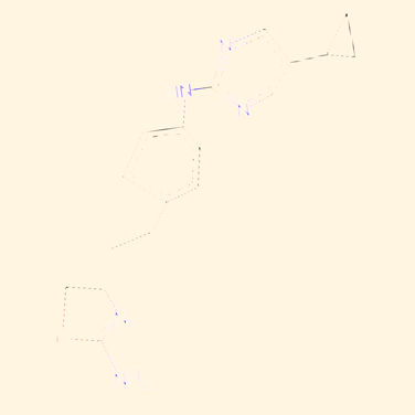 NC1=N[C@@H](CCc2ccc(Nc3ncc(C4CC4)cn3)cc2)CO1